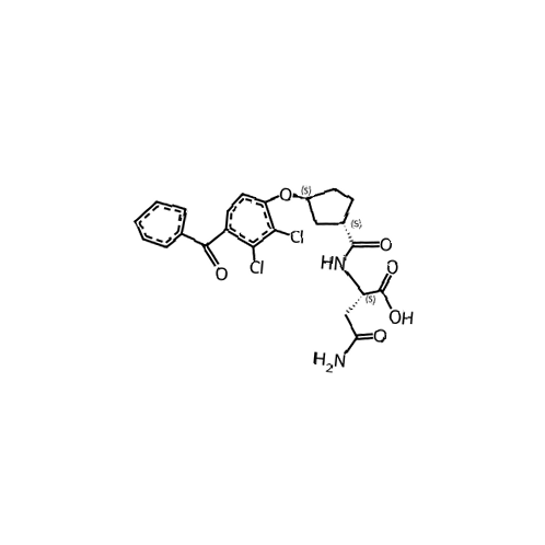 NC(=O)C[C@H](NC(=O)[C@H]1CC[C@H](Oc2ccc(C(=O)c3ccccc3)c(Cl)c2Cl)C1)C(=O)O